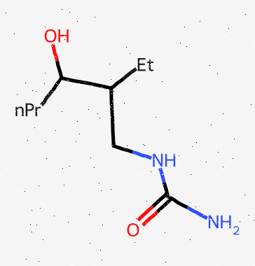 CCCC(O)C(CC)CNC(N)=O